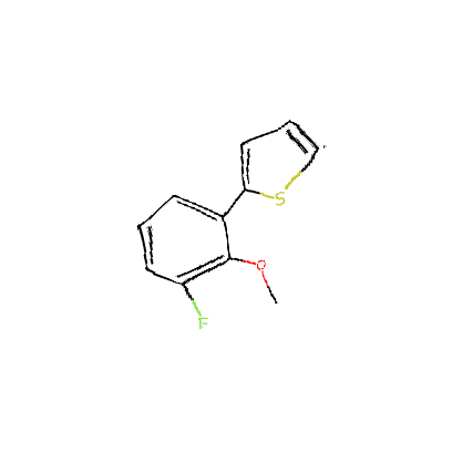 COc1c(F)cccc1-c1cc[c]s1